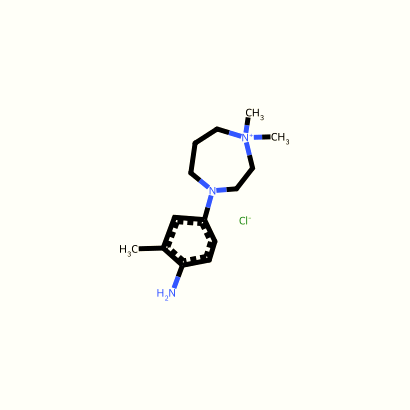 Cc1cc(N2CCC[N+](C)(C)CC2)ccc1N.[Cl-]